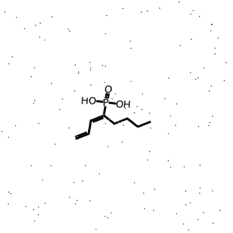 C=C/C=C(\CCCC)P(=O)(O)O